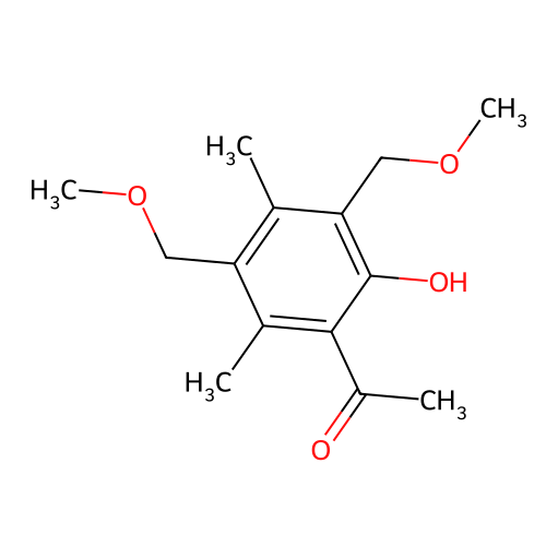 COCc1c(C)c(COC)c(O)c(C(C)=O)c1C